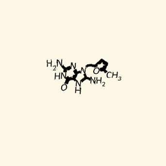 Cc1ccc(CN2c3nc(N)[nH]c(=O)c3NC2N)o1